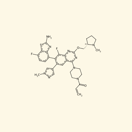 C=CC(=O)N1CCN(c2nc(OC[C@@H]3CCCN3C)nc3c(F)c(-c4ccc(F)c5sc(N)nc45)c(-c4cnn(C)c4)cc23)CC1